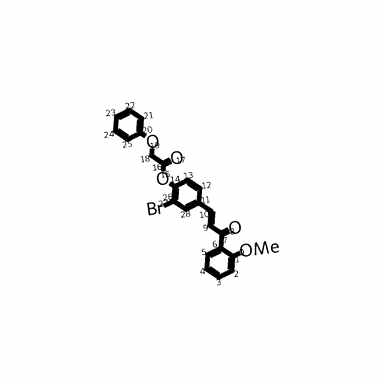 COc1ccccc1C(=O)C=Cc1ccc(OC(=O)COc2ccccc2)c(Br)c1